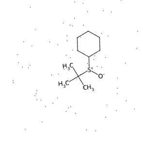 CC(C)(C)[S+]([O-])C1CCCCC1